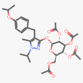 CC(=O)OC[C@H]1O[C@@H](Oc2nn(C(C)C)c(C)c2Cc2ccc(OC(C)C)cc2)[C@H](OC(C)=O)[C@@H](OC(C)=O)[C@@H]1OC(C)=O